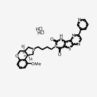 COc1cccc2c1[C@@H]1CN(CCCCn3c(=O)[nH]c4c(sc5ncc(-c6cccnc6)nc54)c3=O)C[C@@H]1CO2.Cl.Cl